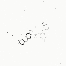 C[C@@H]1CN(CC(=O)N2CC(C)(C)c3ccc(Cc4ccc(F)cc4)cc32)[C@@H](CN2CCOC[C@]2(C)CO)CN1